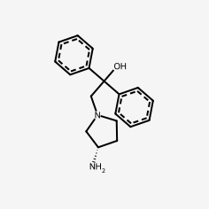 N[C@H]1CCN(CC(O)(c2ccccc2)c2ccccc2)C1